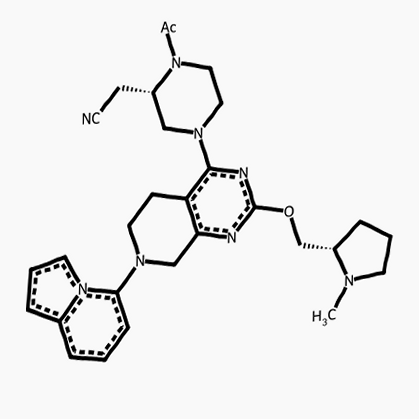 CC(=O)N1CCN(c2nc(OC[C@@H]3CCCN3C)nc3c2CCN(c2cccc4cccn24)C3)C[C@@H]1CC#N